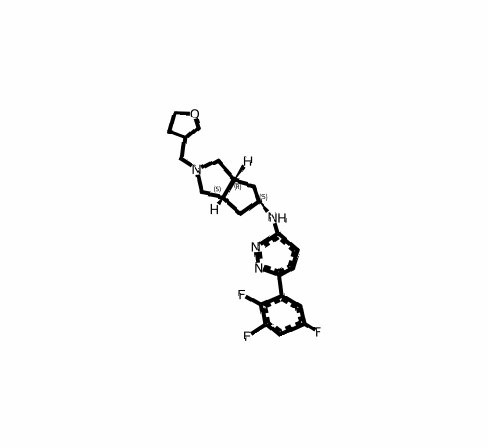 Fc1cc(F)c(F)c(-c2ccc(N[C@H]3C[C@@H]4CN(CC5CCOC5)C[C@@H]4C3)nn2)c1